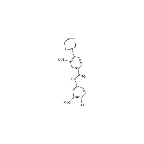 COc1cc(NC(=O)c2ccc(N3CCOCC3)c([N+](=O)[O-])c2)ccc1Cl